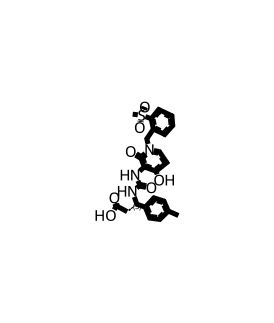 Cc1ccc([C@H](CC(=O)O)NC(=O)Nc2c(O)ccn(Cc3ccccc3S(C)(=O)=O)c2=O)cc1